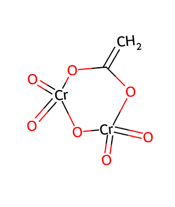 C=C1[O][Cr](=[O])(=[O])[O][Cr](=[O])(=[O])[O]1